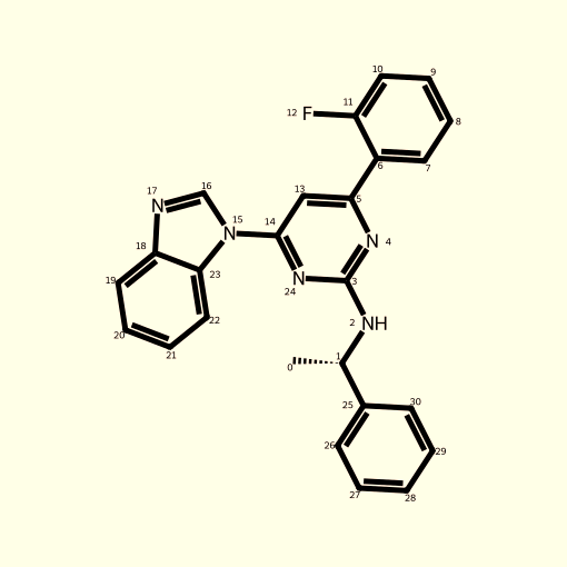 C[C@H](Nc1nc(-c2ccccc2F)cc(-n2cnc3ccccc32)n1)c1ccccc1